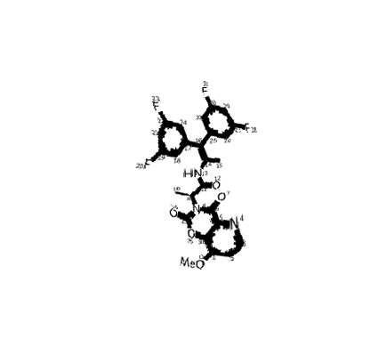 COc1ccnc2c(=O)n([C@@H](C)C(=O)NC(C)=C(c3cc(F)cc(F)c3)c3cc(F)cc(F)c3)c(=O)oc12